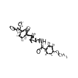 COc1ccc(C(=O)N/N=C/c2ccc([N+](=O)[O-])o2)cc1